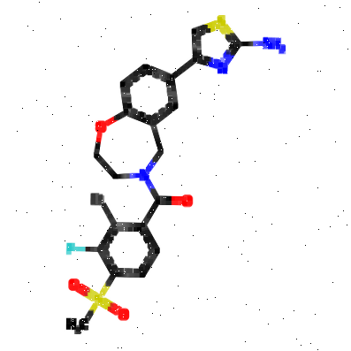 CCc1c(C(=O)N2CCOc3ccc(-c4csc(N)n4)cc3C2)ccc(S(C)(=O)=O)c1F